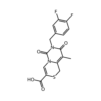 Cc1c2n(c(=O)n(Cc3ccc(F)c(F)c3)c1=O)C=C(C(=O)O)SC2